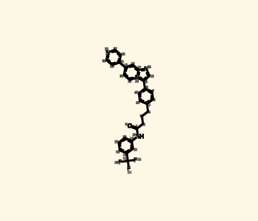 O=C(CCCc1ccc(-c2cnc3cc(-c4ccncc4)ccn23)cc1)Nc1cccc(C(F)(F)F)c1